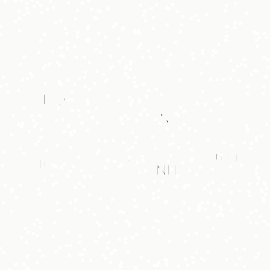 CC(C)(C)c1nc2cc(O)c(O)cc2[nH]1